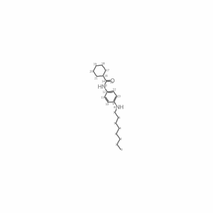 CCCCCCCCNc1ccc(NC(=O)C2CCCCC2)cc1